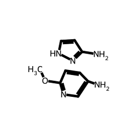 COc1ccc(N)cn1.Nc1cc[nH]n1